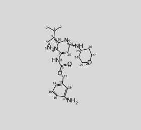 CC(C)c1cnn2c(NC(=O)OCc3cccc(N)c3)cc(NC3CCOCC3)nc12